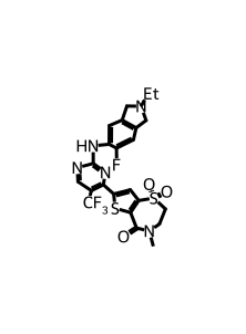 CCN1Cc2cc(F)c(Nc3ncc(C(F)(F)F)c(-c4cc5c(s4)C(=O)N(C)CCS5(=O)=O)n3)cc2C1